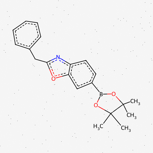 CC1(C)OB(c2ccc3nc(Cc4ccccc4)oc3c2)OC1(C)C